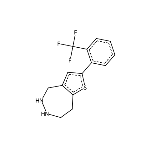 FC(F)(F)c1ccccc1-c1cc2c(s1)CCNNC2